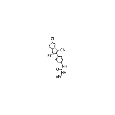 CCCNC(=O)Nc1ccc(-c2c(C#N)c3cc(Cl)ccc3n2CC)cc1